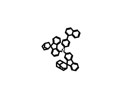 c1ccc2c(c1)-c1c(N(c3ccc(-c4cccc5ccccc45)cc3)c3ccc4c(c3)C3(c5ccccc5-4)C4CC5CC(C4)CC3C5)cccc1C21CC2CCC1C2